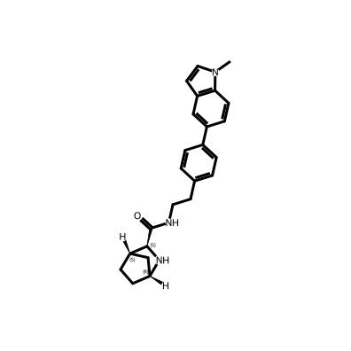 Cn1ccc2cc(-c3ccc(CCNC(=O)[C@H]4N[C@@H]5CC[C@H]4C5)cc3)ccc21